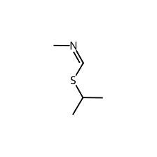 C/N=C\SC(C)C